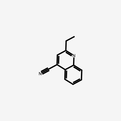 CCc1cc(C#N)c2ccccc2n1